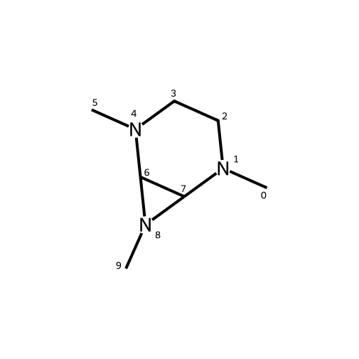 CN1CCN(C)C2C1N2C